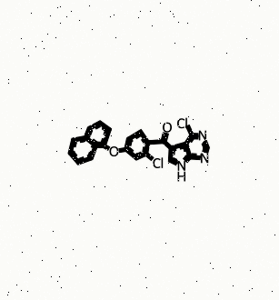 O=C(c1ccc(Oc2cccc3ccccc23)cc1Cl)c1c[nH]c2ncnc(Cl)c12